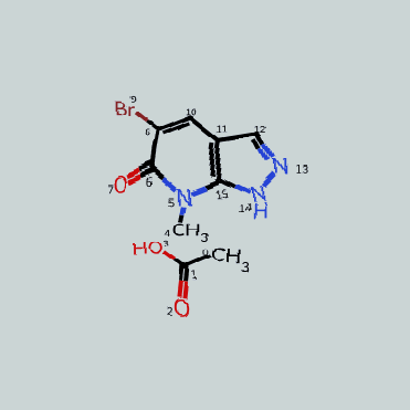 CC(=O)O.Cn1c(=O)c(Br)cc2cn[nH]c21